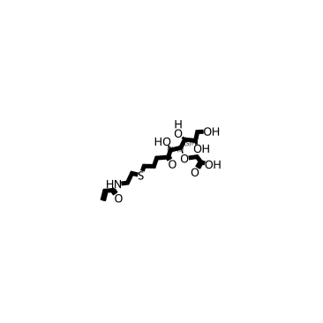 C=CC(=O)NCCSCCCC(=O)[C@H](O)[C@@H](OCC(=O)O)[C@@H](O)[C@H](O)CO